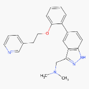 CN(C)Cc1n[nH]c2ccc(-c3ccccc3OCCc3cccnc3)cc12